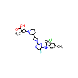 Cc1ccc(C(C)Nc2nc(N3CC(C4CCCN(C5CC(C)(C(=O)O)C5)C4)C3)ncc2F)c(Cl)c1